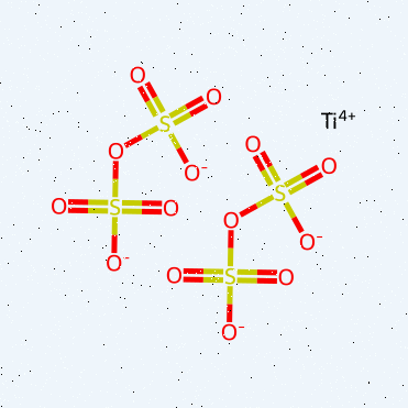 O=S(=O)([O-])OS(=O)(=O)[O-].O=S(=O)([O-])OS(=O)(=O)[O-].[Ti+4]